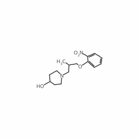 CC(COc1ccccc1[N+](=O)[O-])CN1CCC(O)CC1